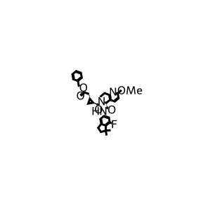 COc1ccc2c(n1)CCN(C(=O)[C@H]1C[C@@H]1CC(=O)OCc1ccccc1)[C@H]2C(=O)Nc1cc(F)c2c(c1)CCC2(C)C